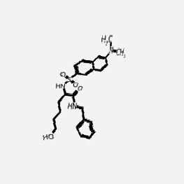 CN(C)c1ccc2cc(S(=O)(=O)NC(CCCCO)C(=O)NCc3ccccc3)ccc2c1